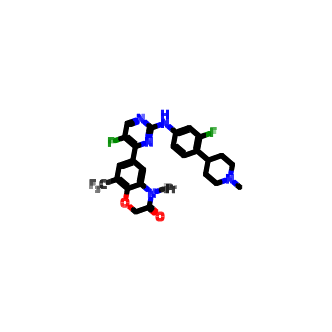 CC(C)N1C(=O)COc2c1cc(-c1nc(Nc3ccc(C4CCN(C)CC4)c(F)c3)ncc1F)cc2C(F)(F)F